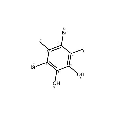 Cc1c(O)c(O)c(Br)c(C)c1Br